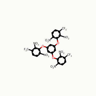 O=[N+]([O-])c1ccc(C(F)(F)F)c([N+](=O)[O-])c1Oc1cc(Oc2c([N+](=O)[O-])ccc(C(F)(F)F)c2[N+](=O)[O-])cc(Oc2c([N+](=O)[O-])ccc(C(F)(F)F)c2[N+](=O)[O-])c1